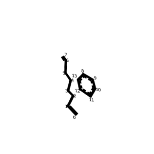 C=CCCCCC=C.c1ccccc1